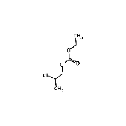 CCOC(=O)OCC(C)Cl